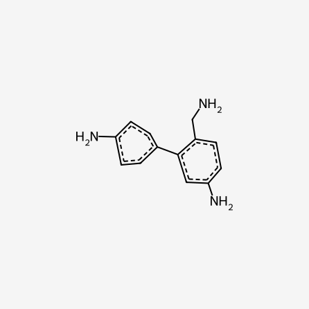 NCc1ccc(N)cc1-c1ccc(N)cc1